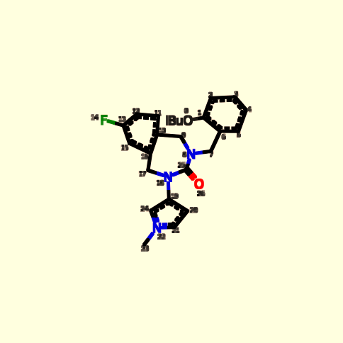 CC(C)COc1ccccc1CN1Cc2ccc(F)cc2CN(c2ccn(C)c2)C1=O